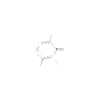 CCc1nnc(C(C)(C)C)c(=O)n1N